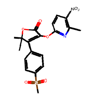 Cc1nc(OC2=C(c3ccc(S(C)(=O)=O)cc3)C(C)(C)OC2=O)ccc1[N+](=O)[O-]